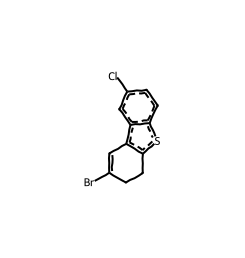 Clc1ccc2sc3c(c2c1)C=C(Br)CC3